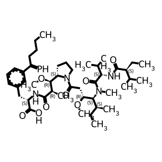 CCCCC(=P)c1cccc(C[C@H](NC(=O)[C@H](C)[C@@H](OC)[C@@H]2CCCN2C(=O)C[C@@H](OC)[C@H]([C@@H](C)CC)N(C)C(=O)[C@@H](NC(=O)[C@@H](CC)C(C)C)C(C)C)C(=O)O)c1